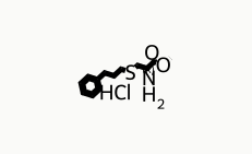 COC(=O)[C@@H](N)CSCCCc1ccccc1.Cl